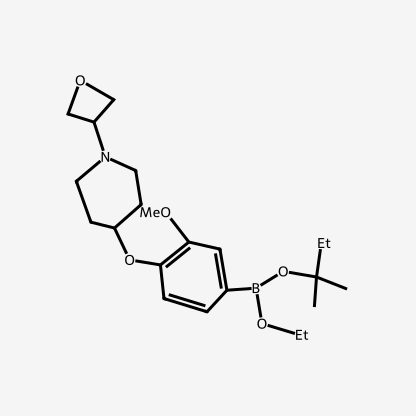 CCOB(OC(C)(C)CC)c1ccc(OC2CCN(C3COC3)CC2)c(OC)c1